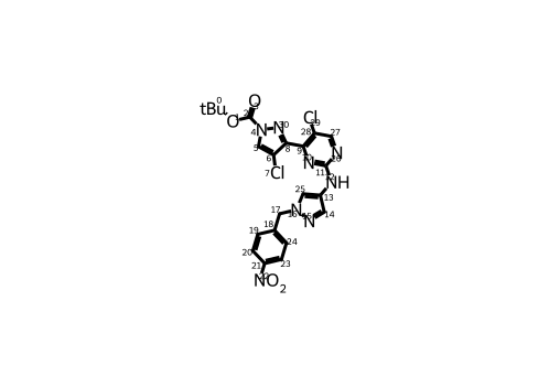 CC(C)(C)OC(=O)n1cc(Cl)c(-c2nc(Nc3cnn(Cc4ccc([N+](=O)[O-])cc4)c3)ncc2Cl)n1